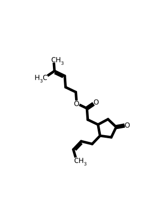 C/C=C\CC1CC(=O)CC1CC(=O)OCCC=C(C)C